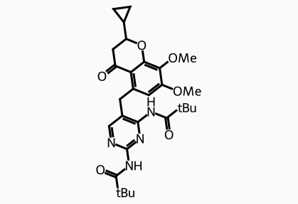 COc1cc(Cc2cnc(NC(=O)C(C)(C)C)nc2NC(=O)C(C)(C)C)c2c(c1OC)OC(C1CC1)CC2=O